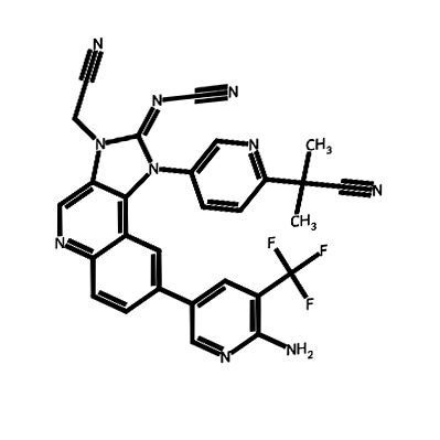 CC(C)(C#N)c1ccc(-n2c(=NC#N)n(CC#N)c3cnc4ccc(-c5cnc(N)c(C(F)(F)F)c5)cc4c32)cn1